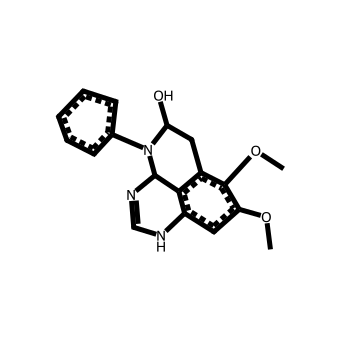 COc1cc2c3c(c1OC)CC(O)N(c1ccccc1)C3N=CN2